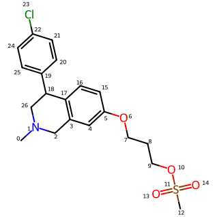 CN1Cc2cc(OCCCOS(C)(=O)=O)ccc2C(c2ccc(Cl)cc2)C1